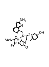 CNC(=O)N(C(C)C)N1CC(=O)N2[C@@H](Cc3ccc(O)cn3)C(=O)N(Cc3cccc4sc(N)nc34)C[C@@H]21